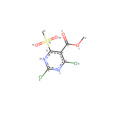 COC(=O)c1c(Cl)nc(Cl)nc1S(C)(=O)=O